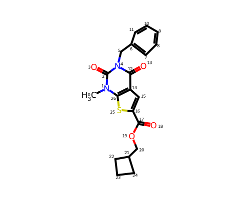 Cn1c(=O)n(Cc2ccccc2)c(=O)c2cc(C(=O)OCC3CCC3)sc21